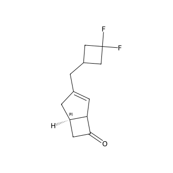 O=C1C[C@H]2CC(CC3CC(F)(F)C3)=CC12